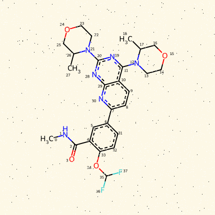 CNC(=O)c1cc(-c2ccc3c(N4CCOCC4C)nc(N4CCOCC4C)nc3n2)ccc1OC(F)F